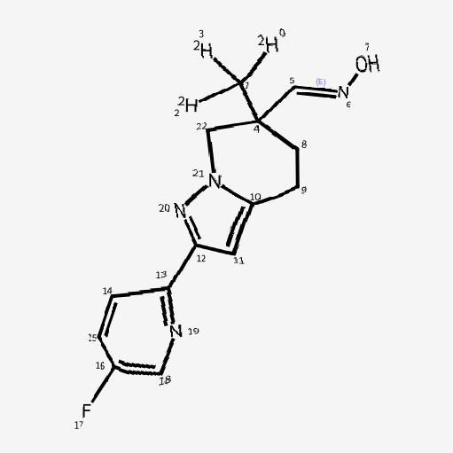 [2H]C([2H])([2H])C1(/C=N/O)CCc2cc(-c3ccc(F)cn3)nn2C1